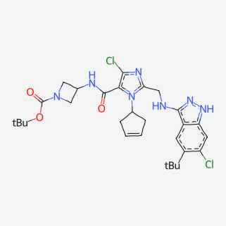 CC(C)(C)OC(=O)N1CC(NC(=O)c2c(Cl)nc(CNc3n[nH]c4cc(Cl)c(C(C)(C)C)cc34)n2C2CC=CC2)C1